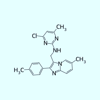 Cc1ccc(-c2nc3ccc(C)cn3c2CNc2nc(C)cc(Cl)n2)cc1